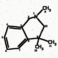 CN1[C]c2ccccc2C(C)(C)C1